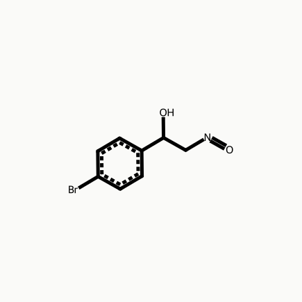 O=NCC(O)c1ccc(Br)cc1